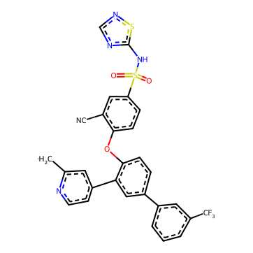 [CH2]c1cc(-c2cc(-c3cccc(C(F)(F)F)c3)ccc2Oc2ccc(S(=O)(=O)Nc3ncns3)cc2C#N)ccn1